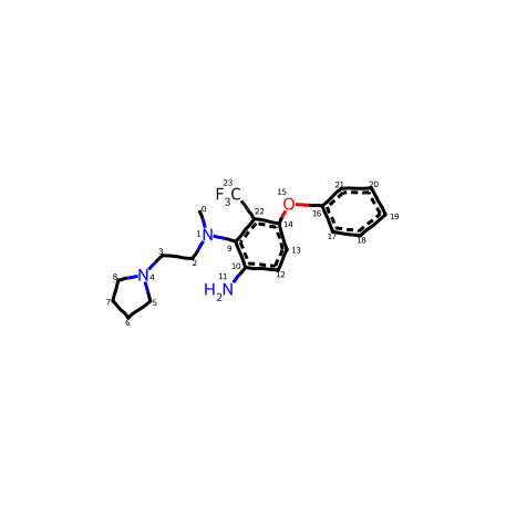 CN(CCN1CCCC1)c1c(N)ccc(Oc2ccccc2)c1C(F)(F)F